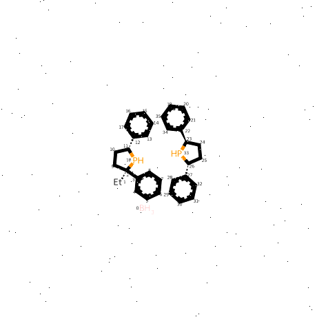 B.CC[C@]1(c2ccccc2)CC[C@H](c2ccccc2)P1.c1ccc([C@H]2CC[C@H](c3ccccc3)P2)cc1